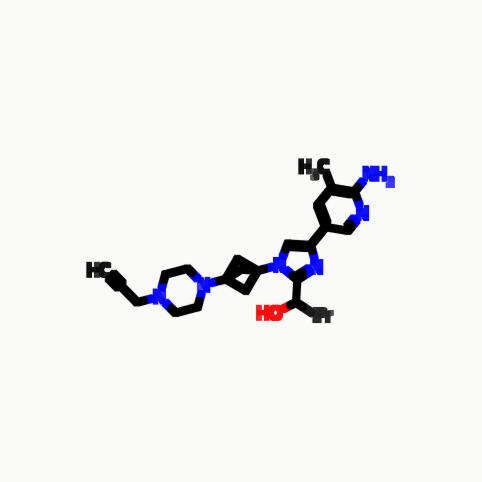 C#CCN1CCN(C23CC(n4cc(-c5cnc(N)c(C)c5)nc4C(O)C(C)C)(C2)C3)CC1